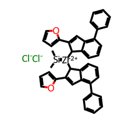 C[Si](C)=[Zr+2]([CH]1C(c2ccco2)=Cc2c(-c3ccccc3)cccc21)[CH]1C(c2ccco2)=Cc2c(-c3ccccc3)cccc21.[Cl-].[Cl-]